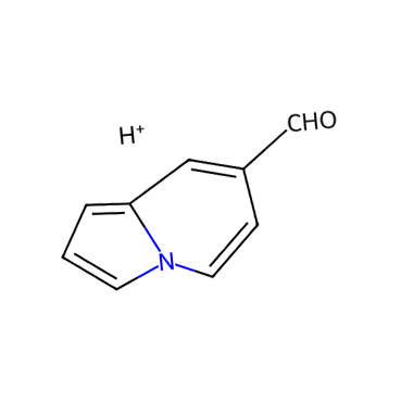 O=Cc1ccn2cccc2c1.[H+]